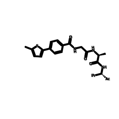 CC(=O)[C@@H](NC(=O)[C@H](C)NC(=O)CNC(=O)c1ccc(-c2ccc(C)s2)cc1)C(C)C